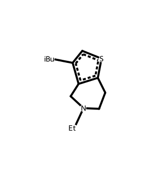 CCC(C)c1csc2c1CN(CC)CC2